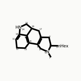 CCCCCCC1CC2=C(CN1C)C1=C3C(=CCC1)NCC3C2